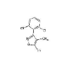 Cc1c(-c2c(Cl)cccc2Cl)noc1C(C)C